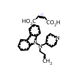 C=CCN(c1ccncc1)n1c2ccccc2c2ccccc21.O=C(O)/C=C\C(=O)O